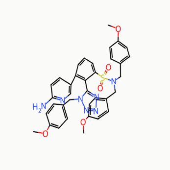 COc1ccc(CN(Cc2ccc(OC)cc2)S(=O)(=O)c2cccc(-c3ccc(N)nc3)c2-c2nnnn2Cc2ccc(OC)cc2)cc1